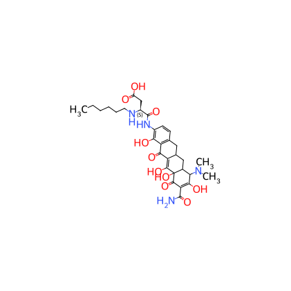 CCCCCCN[C@@H](CC(=O)O)C(=O)Nc1ccc2c(c1O)C(=O)C1=C(O)C3(O)C(=O)C(C(N)=O)=C(O)C(N(C)C)C3CC1C2